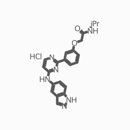 CC(C)NC(=O)COc1cccc(-c2nccc(Nc3ccc4[nH]ncc4c3)n2)c1.Cl